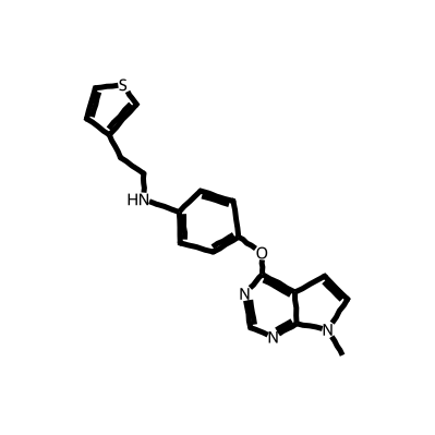 Cn1ccc2c(Oc3ccc(NCCc4ccsc4)cc3)ncnc21